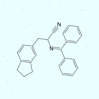 N#CC(Cc1ccc2c(c1)CCC2)N=C(c1ccccc1)c1ccccc1